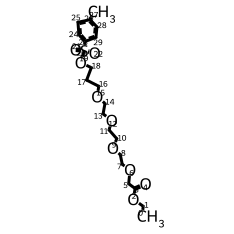 CCOC(=O)COCCOCCOCCOCCCOS(=O)(=O)c1ccc(C)cc1